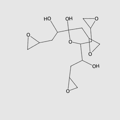 OC(CC1CO1)C(CC1CO1)OC(O)(CC1CO1)C(O)CC1CO1